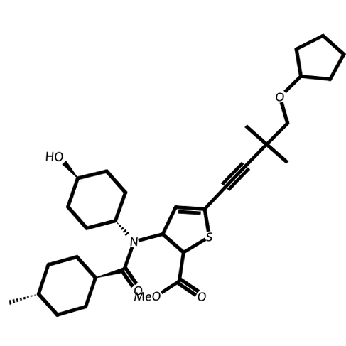 COC(=O)C1SC(C#CC(C)(C)COC2CCCC2)=CC1N(C(=O)[C@H]1CC[C@H](C)CC1)[C@H]1CC[C@H](O)CC1